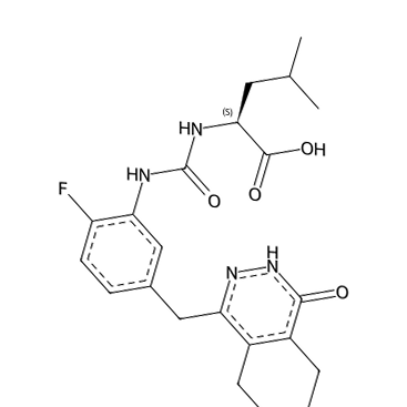 CC(C)C[C@H](NC(=O)Nc1cc(Cc2n[nH]c(=O)c3c2CCCC3)ccc1F)C(=O)O